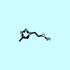 Cc1cn(CCOC(C)C)nn1